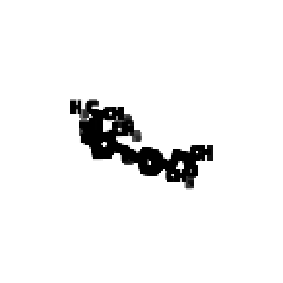 Cc1c(COc2ccc(C(C)CC(=O)O)cc2)ccc2cnn(C(C)C)c12